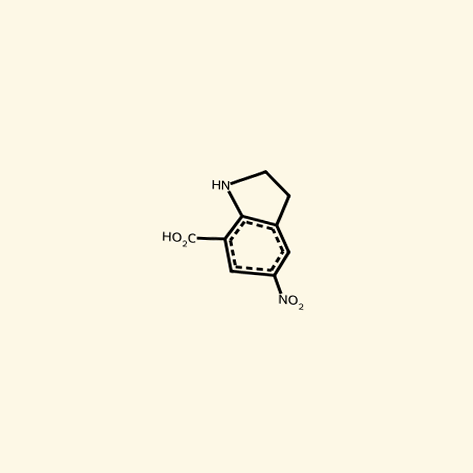 O=C(O)c1cc([N+](=O)[O-])cc2c1NCC2